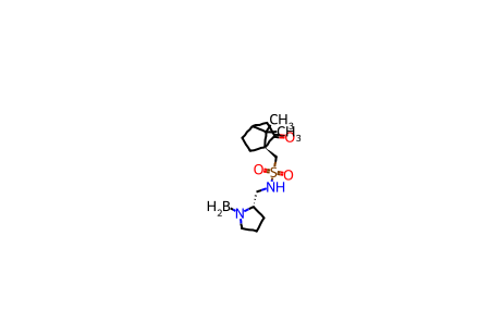 BN1CCC[C@H]1CNS(=O)(=O)C[C@]12CCC(CC1=O)C2(C)C